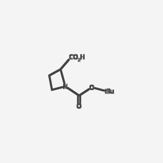 CC(C)(C)OC(=O)N1CCC1C(=O)O